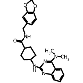 CN(C)c1nc(NC2CCC(C(=O)NCc3ccc4c(c3)OCO4)CC2)nc2ccccc12